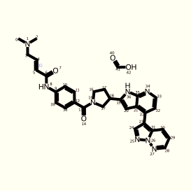 CN(C)C/C=C/C(=O)Nc1ccc(C(=O)N2CCC(c3cc4c(-c5cnn6ncccc56)ccnc4[nH]3)C2)cc1.O=CO